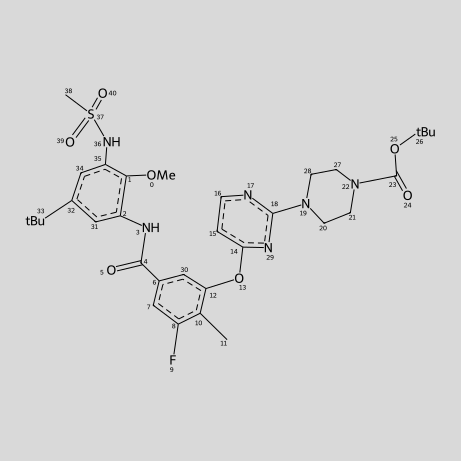 COc1c(NC(=O)c2cc(F)c(C)c(Oc3ccnc(N4CCN(C(=O)OC(C)(C)C)CC4)n3)c2)cc(C(C)(C)C)cc1NS(C)(=O)=O